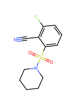 N#Cc1c(F)cccc1S(=O)(=O)N1CCCCC1